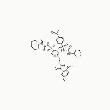 CC(=O)c1ccc(S(=O)(=O)NC(=O)NC2CCCCC2)cc1.COc1ccc(Cl)cc1C(=O)NCCc1ccc(S(=O)(=O)NC(=O)NC2CCCCC2)cc1